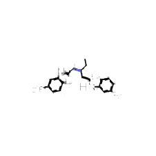 CC/C(C=C1Nc2cc(Br)ccc2O1)=C/c1nc2cc(Br)ccc2o1